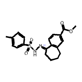 COC(=O)c1ccc2c(c1)CCCC/C2=N\NS(=O)(=O)c1ccc(C)cc1